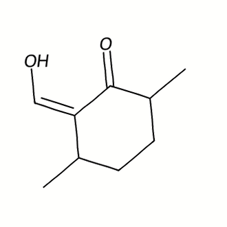 CC1CCC(C)C(=CO)C1=O